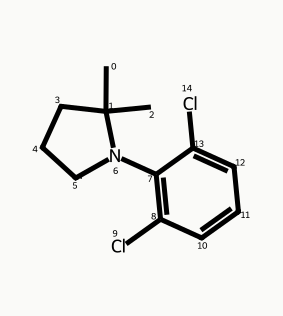 CC1(C)CC[CH]N1c1c(Cl)cccc1Cl